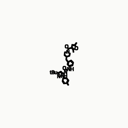 Cc1ccc(-n2nc(C(C)(C)C)cc2NC(=O)Nc2cccc(CC3CCN(C(=O)c4cc(C)oc4C)CC3)c2)cc1